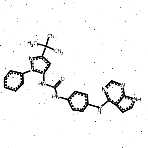 CC(C)(C)c1cc(NC(=O)Nc2ccc(Nc3ncnc4[nH]ccc34)cc2)n(-c2ccccc2)n1